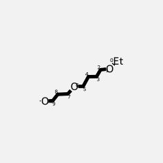 CCOCCCCOCCC[O]